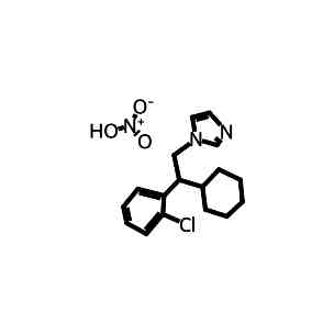 Clc1ccccc1C(Cn1ccnc1)C1CCCCC1.O=[N+]([O-])O